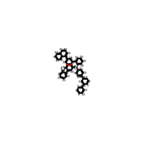 c1ccc(-c2cccc(-c3ccc(N(c4ccc5oc6ccccc6c5c4)c4ccccc4-c4cccc(-c5cccc6ccccc56)c4)cc3)c2)cc1